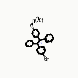 CCCCCCCCOc1ccc(/C(=C(\c2ccccc2)c2ccc(Br)cc2)c2ccccc2)cc1